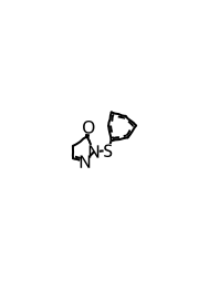 O=C1CC=NN1Sc1ccccc1